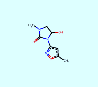 Cc1cc(N2C(=O)N(C)CC2O)no1